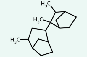 CC1CC(C2(C)C3CCC(C3)C2C)C2CCC1C2